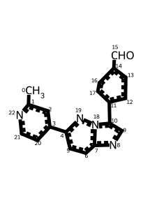 Cc1cc(-c2ccc3ncc(-c4ccc(C=O)cc4)n3n2)ccn1